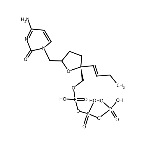 CC/C=C/[C@@]1(COP(=O)(O)OP(=O)(O)OP(=O)(O)O)CCC(Cn2ccc(N)nc2=O)O1